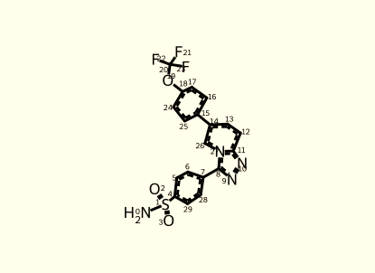 NS(=O)(=O)c1ccc(-c2nnc3ccc(-c4ccc(OC(F)(F)F)cc4)cn23)cc1